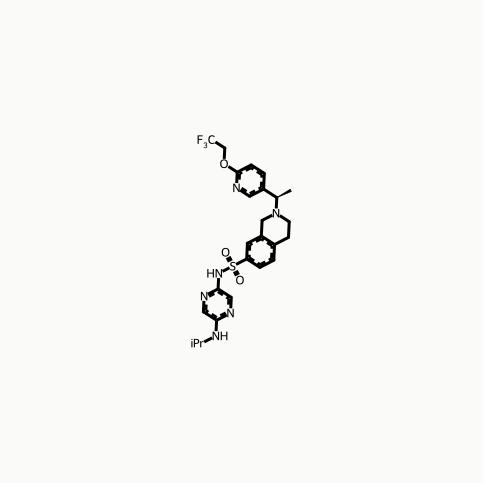 CC(C)Nc1cnc(NS(=O)(=O)c2ccc3c(c2)CN([C@H](C)c2ccc(OCC(F)(F)F)nc2)CC3)cn1